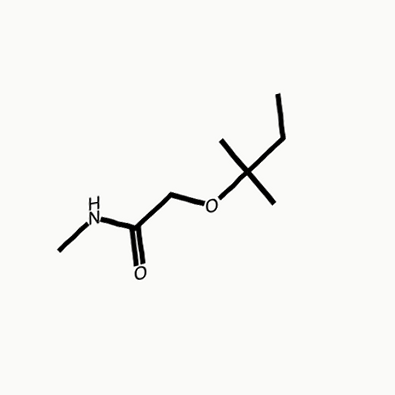 CCC(C)(C)OCC(=O)NC